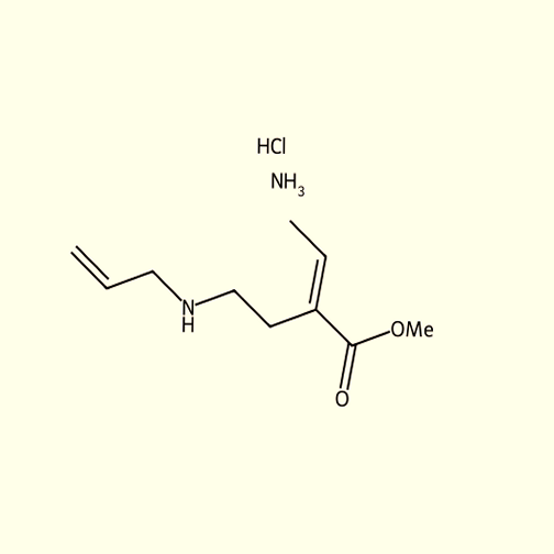 C=CCNCCC(=CC)C(=O)OC.Cl.N